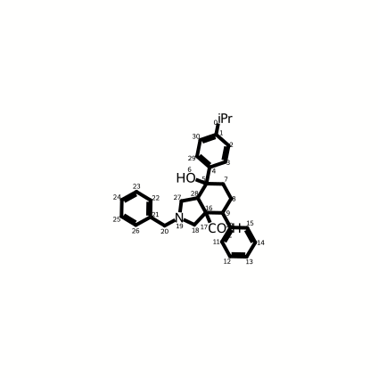 CC(C)c1ccc(C2(O)CCC(c3ccccc3)C3(C(=O)O)CN(Cc4ccccc4)CC23)cc1